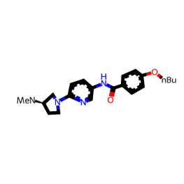 CCCCOc1ccc(C(=O)Nc2ccc(N3CC[C@@H](NC)C3)nc2)cc1